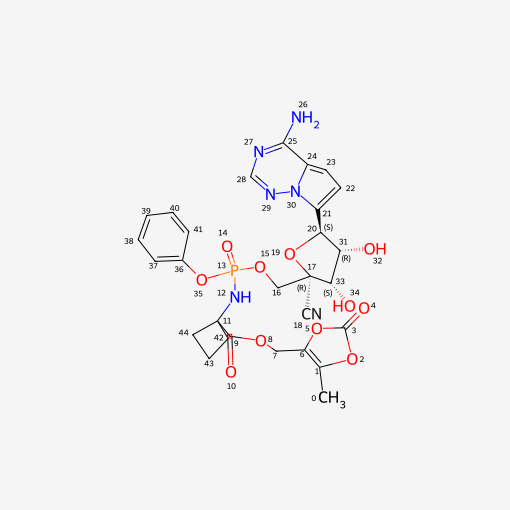 Cc1oc(=O)oc1COC(=O)C1(NP(=O)(OC[C@@]2(C#N)O[C@@H](c3ccc4c(N)ncnn34)[C@H](O)[C@@H]2O)Oc2ccccc2)CCC1